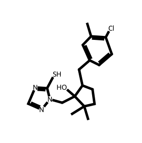 Cc1cc(CC2CCC(C)(C)C2(O)Cn2ncnc2S)ccc1Cl